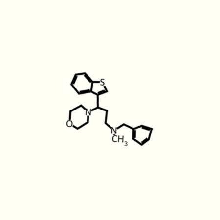 CN(CCC(c1csc2ccccc12)N1CCOCC1)Cc1ccccc1